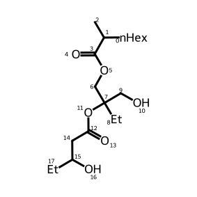 CCCCCCC(C)C(=O)OCC(CC)(CO)OC(=O)CC(O)CC